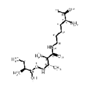 C=C(CC)B(O)ON[C@@H](C)C(N)C(=O)NCCCC[C@H](N)C(=O)I